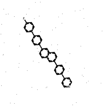 Fc1ccc(-c2ccc(-c3ccc4cc(-c5ccc(-c6ccncc6)cc5)ccc4c3)cc2)cc1